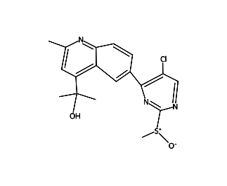 Cc1cc(C(C)(C)O)c2cc(-c3nc([S+](C)[O-])ncc3Cl)ccc2n1